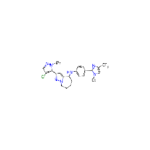 CCn1cc(C(F)(F)F)nc1-c1ccc(NC2CCCCn3nc(-c4c(Cl)cnn4C(C)C)cc32)cc1